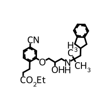 CCOC(=O)CCc1ccc(C#N)cc1OCC(O)CNC(C)(C)CC1Cc2ccccc2C1